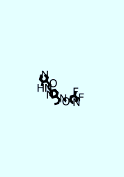 CC/C(=N\Oc1cnc(F)c(F)c1)c1ccc(NC(=O)c2cnccc2C)nc1